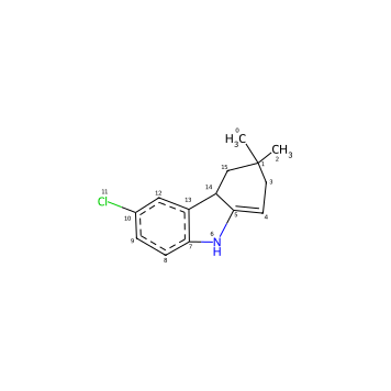 CC1(C)CC=C2Nc3ccc(Cl)cc3C2C1